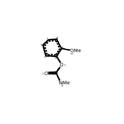 CNC(=O)Oc1ccccc1OC